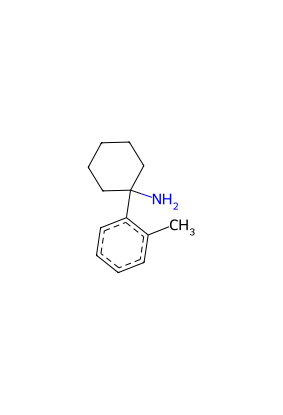 Cc1ccccc1C1(N)CCCCC1